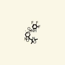 Cc1nc(-c2onc3c2CN(C(=O)Nc2cc(F)c(F)c(F)c2)[C@@H](C)C3)c(C)o1